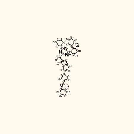 c1ccc(C2=NC(c3cccc4c3sc3ccc(-c5ccc(-c6nc7ccccc7o6)cc5)cc34)NC(c3cccc4oc5ccccc5c34)=N2)cc1